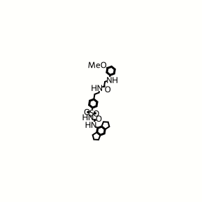 COc1cccc(NCC(=O)NCCc2ccc(S(=O)(=O)NC(=O)Nc3c4c(cc5c3CCC5)CCC4)cc2)c1